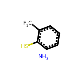 FC(F)(F)c1ccccc1S.N